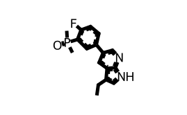 CCc1c[nH]c2ncc(-c3ccc(F)c(P(C)(C)=O)c3)cc12